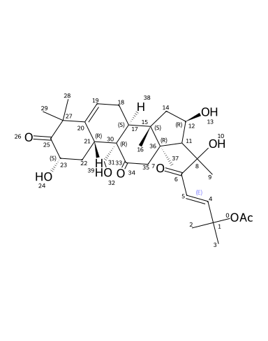 CC(=O)OC(C)(C)/C=C/C(=O)C(C)(O)C1[C@H](O)C[C@@]2(C)[C@@H]3CC=C4[C@@H](C[C@H](O)C(=O)C4(C)C)[C@]3(CO)C(=O)C[C@]12C